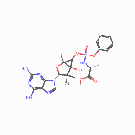 CC(C)OC(=O)[C@@H](C)NP(=O)(Oc1ccccc1)OC1[C@H]2O[C@@H](n3cnc4c(N)nc(N)nc43)[C@](C)(C#N)[C@@]12O